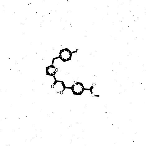 COC(=O)c1ccc(C(O)=CC(=O)c2ccc(Cc3ccc(F)cc3)o2)nc1